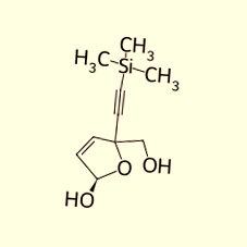 C[Si](C)(C)C#CC1(CO)C=C[C@H](O)O1